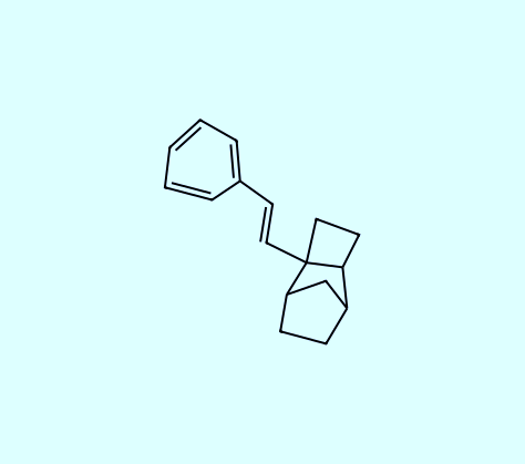 C(=CC12CCC1C1CCC2C1)c1ccccc1